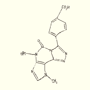 CCCn1c(=O)n2c(-c3ccc(C(=O)O)cc3)nnc2c2c1ncn2C